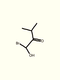 CC(C)C(=O)[C](O)Br